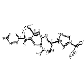 O=C(O)c1cnn(-c2nc3cc(Cl)c(S(=O)(=O)c4ccccc4)cc3c(=O)[nH]2)c1